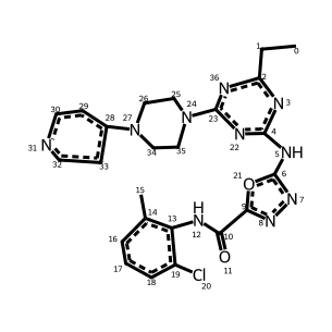 CCc1nc(Nc2nnc(C(=O)Nc3c(C)cccc3Cl)o2)nc(N2CCN(c3ccncc3)CC2)n1